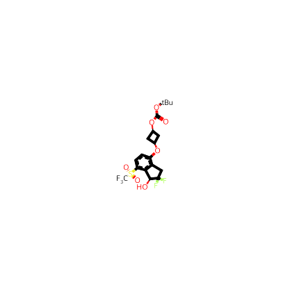 CC(C)(C)OC(=O)O[C@H]1C[C@@H](Oc2ccc(S(=O)(=O)C(F)(F)F)c3c2CC(F)(F)[C@H]3O)C1